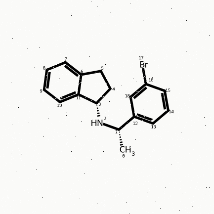 C[C@H](N[C@H]1CCc2ccccc21)c1cccc(Br)c1